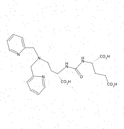 O=C(O)CC[C@H](NC(=O)N[C@@H](CCN(Cc1ccccn1)Cc1ccccn1)C(=O)O)C(=O)O